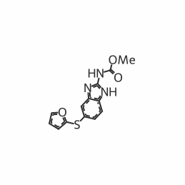 COC(=O)Nc1nc2cc(Sc3ccco3)ccc2[nH]1